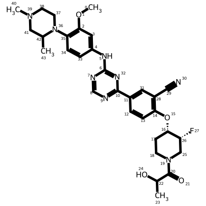 COc1cc(Nc2ncnc(-c3ccc(O[C@H]4CCN(C(=O)C(C)O)C[C@H]4F)c(C#N)c3)n2)ccc1N1CCN(C)CC1C